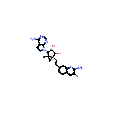 Nc1nc2cc(CC[C@@]34C[C@@H]3[C@@H](n3ccc5c(N)ncnc53)[C@H](O)[C@@H]4O)ccc2cc1Br